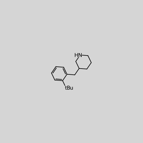 CC(C)(C)c1ccccc1CC1CCCNC1